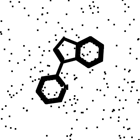 [CH]1C=C(c2ccccn2)c2ccccc21